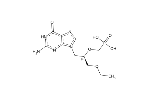 CCOC[C@@H](Cn1cnc2c(=O)[nH]c(N)nc21)OCP(=O)(O)O